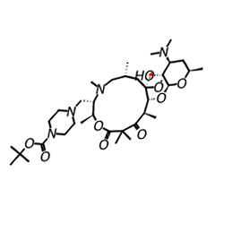 CO[C@]1(C)C[C@@H](C)CN(C)[C@@H](CN2CCN(C(=O)OC(C)(C)C)CC2)[C@H](C)OC(=O)C(C)(C)C(=O)[C@H](C)[C@H]1O[C@@H]1O[C@H](C)C[C@H](N(C)C)[C@H]1O